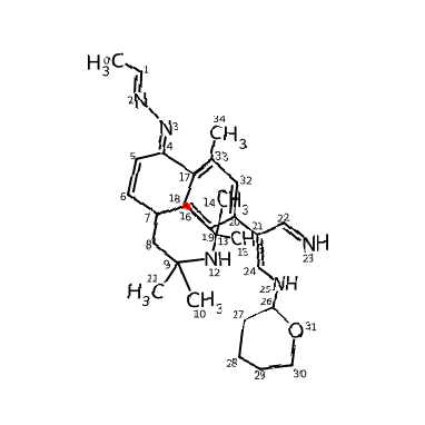 C/C=N/N=C(\C=C/C1CC(C)(C)NC(C)(C)C1)c1ccc(/C(C=N)=C/NC2CCCCO2)cc1C